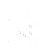 CC(C)(C)c1ccc2c(c1)c1cc(C(C)(C)C)ccc1n2C1=CC(n2c3ccc(C(C)(C)C)cc3c3cc(C(C)(C)C)ccc32)NC(c2ccccc2)=N1